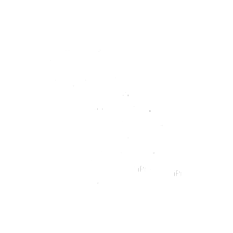 CC(C)CC(c1ccc(OC(OCCc2ccccc2)C2C=Cc3ccccc32)cc1)C(C)C